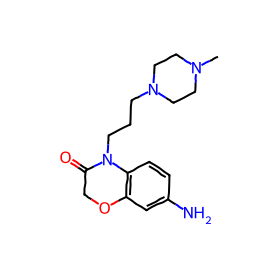 CN1CCN(CCCN2C(=O)COc3cc(N)ccc32)CC1